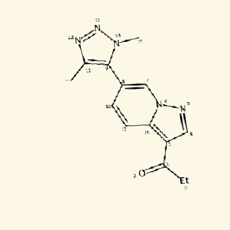 CCC(=O)c1cnn2cc(-c3c(C)nnn3C)ccc12